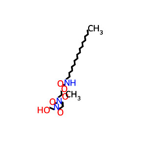 CCCCCCCCCCCCCCCCCCNC(=O)OCC(Cn1ccc(=O)n(CCO)c1=O)OC